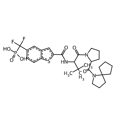 CC(C)(C)C(NC(=O)c1cc2cc(C(F)(F)P(=O)(O)O)ccc2s1)C(=O)N1CCCC1C(=O)N1CCCC12CCCC2